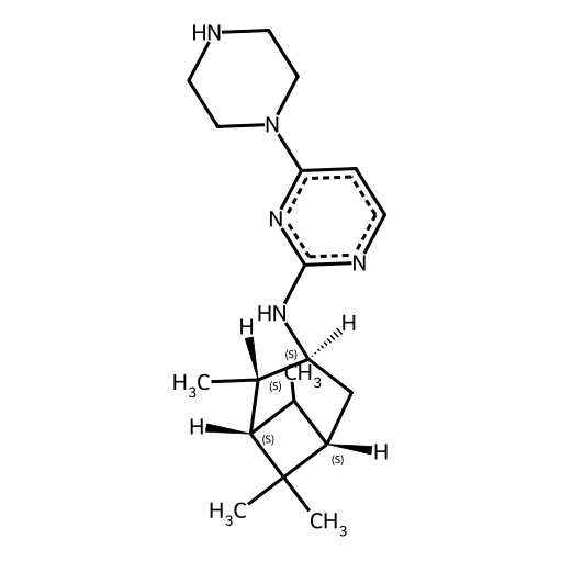 CC1[C@@H]2C[C@H](Nc3nccc(N4CCNCC4)n3)[C@@H](C)[C@H]1C2(C)C